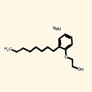 CCCCCCCCc1ccccc1OCCO.[NaH]